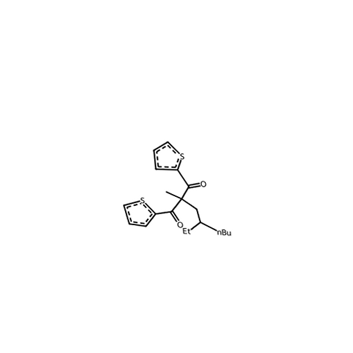 CCCCC(CC)CC(C)(C(=O)c1cccs1)C(=O)c1cccs1